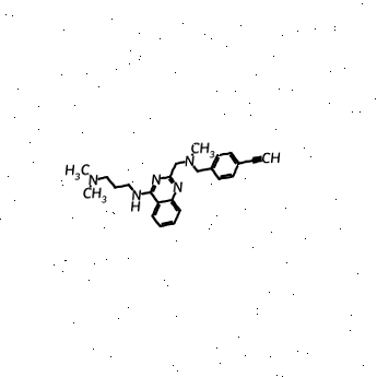 C#Cc1ccc(CN(C)Cc2nc(NCCCN(C)C)c3ccccc3n2)cc1